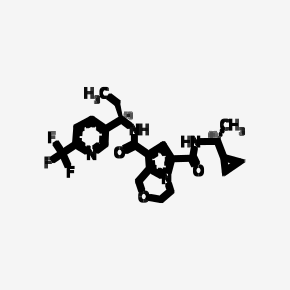 CC[C@@H](NC(=O)c1cc(C(=O)N[C@H](C)C2CC2)n2c1COCC2)c1ccc(C(F)(F)F)nc1